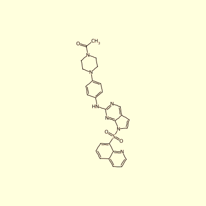 CC(=O)N1CCN(c2ccc(Nc3ncc4ccn(S(=O)(=O)c5cccc6cccnc56)c4n3)cc2)CC1